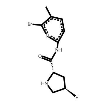 Cc1ccc(NC(=O)[C@@H]2C[C@@H](F)CN2)nc1Br